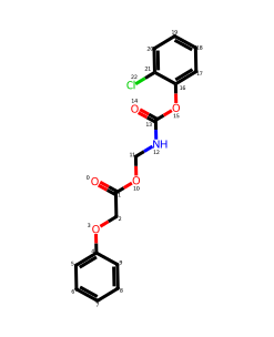 O=C(COc1ccccc1)OCNC(=O)Oc1ccccc1Cl